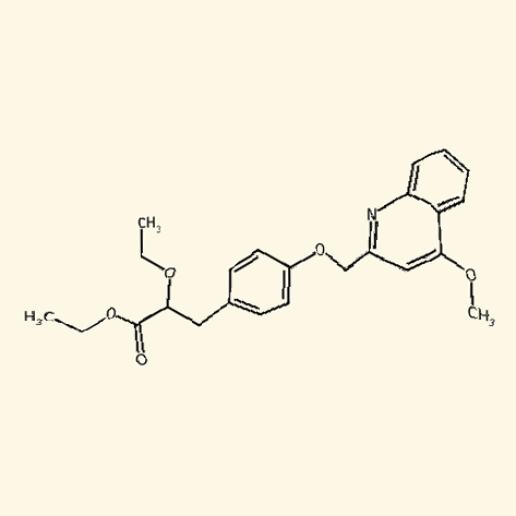 CCOC(=O)C(Cc1ccc(OCc2cc(OC)c3ccccc3n2)cc1)OCC